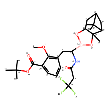 COc1c(CC(NC(=O)CC(F)(F)F)B2OC3CC4CC(C4(C)C)C3(C)O2)cccc1C(=O)OC(C)(C)C